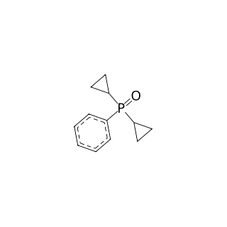 O=P(c1ccccc1)(C1CC1)C1CC1